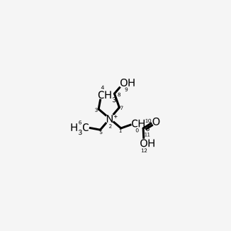 CC[N+](CC)(CC)CCO.O=CO